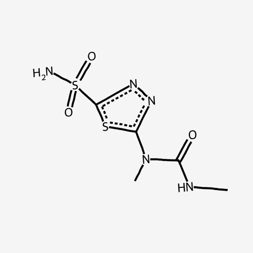 CNC(=O)N(C)c1nnc(S(N)(=O)=O)s1